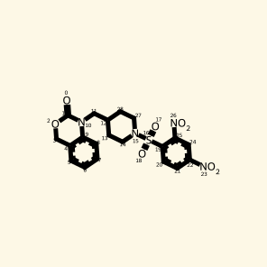 O=C1OCc2ccccc2N1CC1CCN(S(=O)(=O)c2ccc([N+](=O)[O-])cc2[N+](=O)[O-])CC1